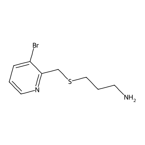 NCCCSCc1ncccc1Br